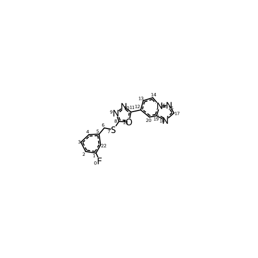 Fc1cccc(CSc2nnc(-c3ccn4ncnc4c3)o2)c1